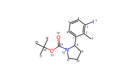 Cc1c(I)cccc1C1CCCN1C(=O)OC(C)(C)C